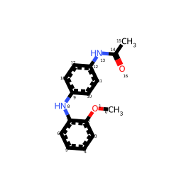 COc1c[c]ccc1Nc1ccc(NC(C)=O)cc1